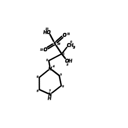 CC(O)(CN1CCNCC1)S(=O)(=O)O